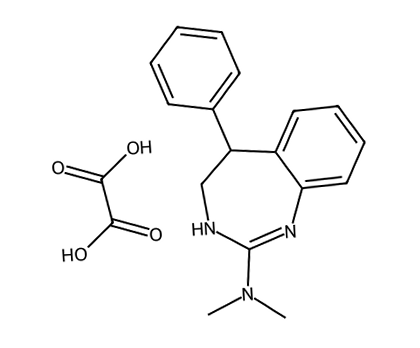 CN(C)C1=Nc2ccccc2C(c2ccccc2)CN1.O=C(O)C(=O)O